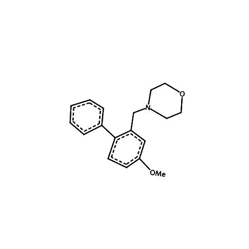 COc1ccc(-c2ccccc2)c(CN2CCOCC2)c1